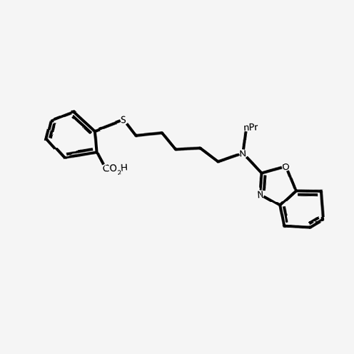 CCCN(CCCCCSc1ccccc1C(=O)O)c1nc2ccccc2o1